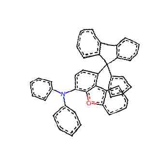 c1ccc(N(c2ccccc2)c2ccc(C3(c4ccccc4)c4ccccc4-c4ccccc43)c3c2oc2ccccc23)cc1